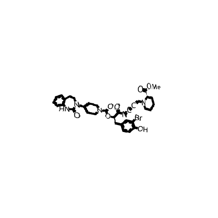 COC(=O)[C@@H]1CCCCN1C=C=C=NC(=O)[C@@H](Cc1ccc(O)c(Br)c1)OC(=O)N1CCC(N2CCc3ccccc3NC2=O)CC1